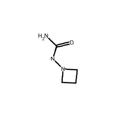 NC(=O)[N]N1CCC1